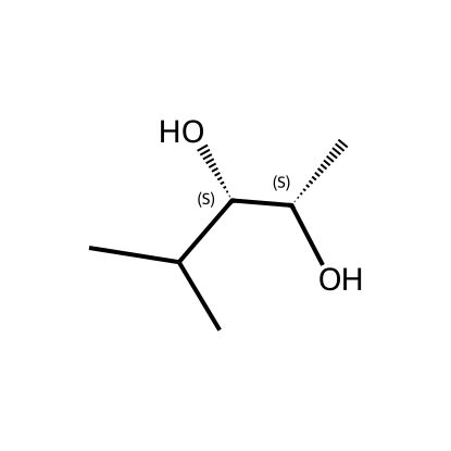 CC(C)[C@H](O)[C@H](C)O